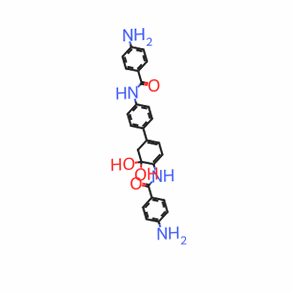 Nc1ccc(C(=O)NC2=CC=C(c3ccc(NC(=O)c4ccc(N)cc4)cc3)CC2(O)O)cc1